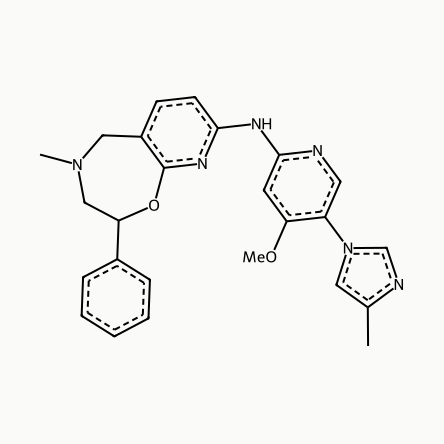 COc1cc(Nc2ccc3c(n2)OC(c2ccccc2)CN(C)C3)ncc1-n1cnc(C)c1